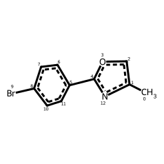 Cc1coc(-c2ccc(Br)cc2)n1